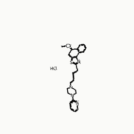 COC1Cc2sc(CCCCN3CCN(c4ccccn4)CC3)nc2-c2ccccc21.Cl